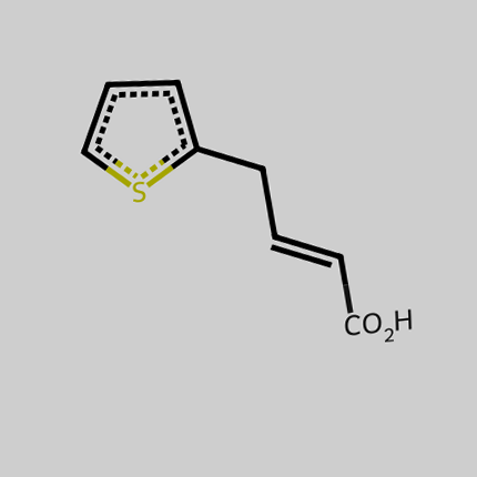 O=C(O)C=CCc1cccs1